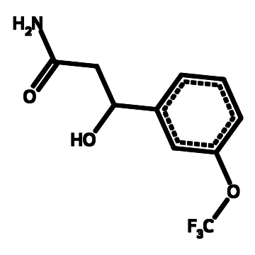 NC(=O)CC(O)c1cccc(OC(F)(F)F)c1